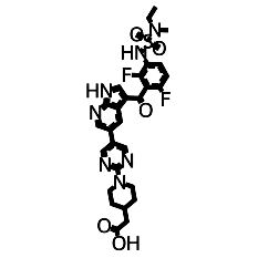 CCN(C)S(=O)(=O)Nc1ccc(F)c(C(=O)c2c[nH]c3ncc(-c4cnc(N5CCC(CC(=O)O)CC5)nc4)cc23)c1F